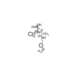 COc1cccc(CCNC(=O)C(C)C(=O)N[C@@H](Cc2coc3ccccc23)OB(O)O)c1